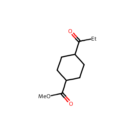 CCC(=O)C1CCC(C(=O)OC)CC1